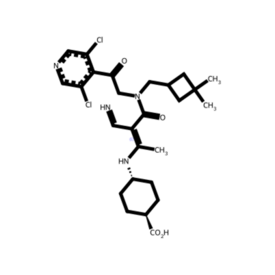 C/C(N[C@H]1CC[C@H](C(=O)O)CC1)=C(/C=N)C(=O)N(CC(=O)c1c(Cl)cncc1Cl)CC1CC(C)(C)C1